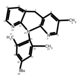 Cc1cnc2c(c1)Cc1cccnc1N2c1c(C)cc(C(C)(C)C)cc1C